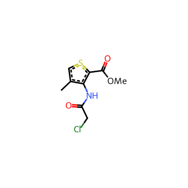 COC(=O)c1scc(C)c1NC(=O)CCl